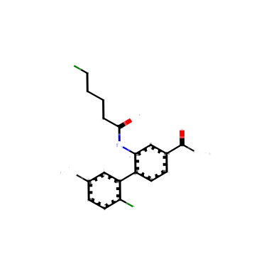 COC(=O)c1ccc(-c2cc(OC)ccc2F)c(NC(=O)CCCCBr)c1